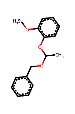 CC(OCc1ccccc1)Oc1ccccc1O[SiH3]